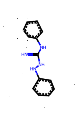 N=C(NNc1ccccc1)Nc1ccccc1